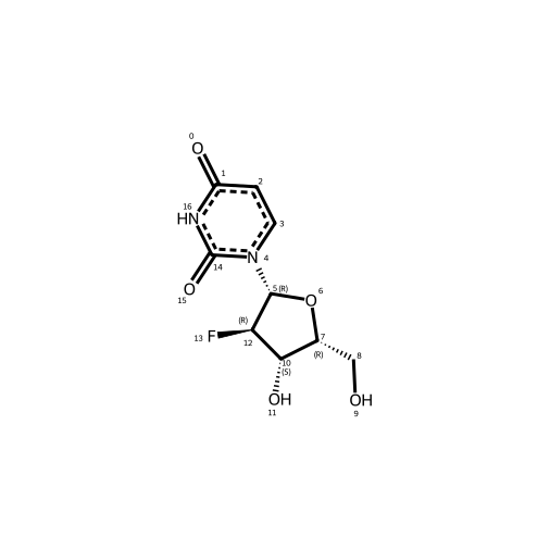 O=c1ccn([C@@H]2O[C@H](CO)[C@H](O)[C@H]2F)c(=O)[nH]1